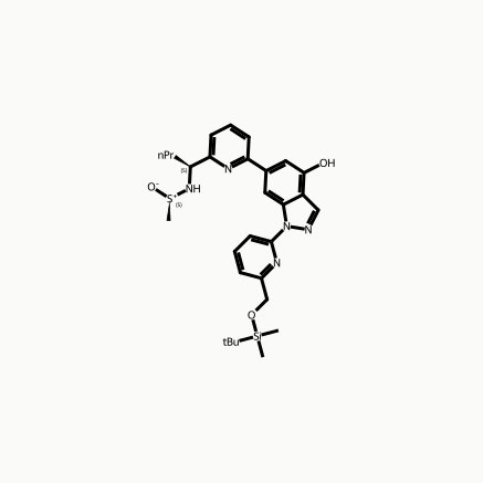 CCC[C@H](N[S@@+](C)[O-])c1cccc(-c2cc(O)c3cnn(-c4cccc(CO[Si](C)(C)C(C)(C)C)n4)c3c2)n1